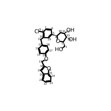 OC[C@H]1O[C@@H](c2ccc(Cl)c(Cc3ccc(OCc4cc5ccccc5o4)cc3)c2)C[C@@H](O)[C@@H]1O